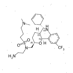 CN(C)CCCS(=O)(=O)N(CCN)C[C@H]1CC[C@@H]2[C@H](O1)c1cc(C(F)(F)F)ccc1N[C@H]2C1C=CC=CC1